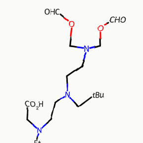 CCN(CCN(CCN(COC=O)COC=O)CC(C)(C)C)CC(=O)O